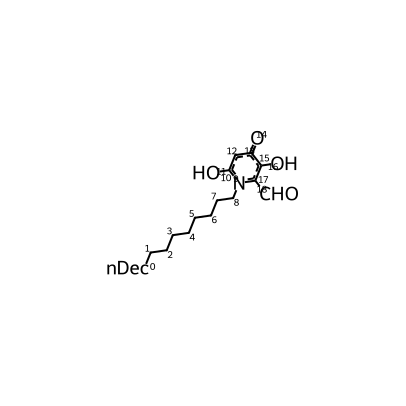 CCCCCCCCCCCCCCCCCCn1c(O)cc(=O)c(O)c1C=O